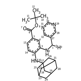 [2H]C(Nc1cc(C(=O)OC(C)(C)C)ccc1NC12CC3CC(CC(C3)C1)C2)c1cncnc1